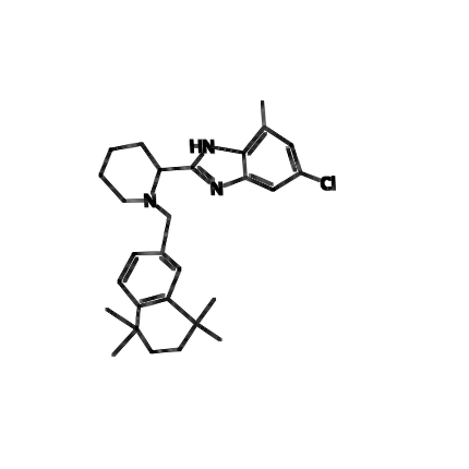 Cc1cc(Cl)cc2nc(C3CCCCN3Cc3ccc4c(c3)C(C)(C)CCC4(C)C)[nH]c12